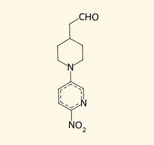 O=CCC1CCN(c2ccc([N+](=O)[O-])nc2)CC1